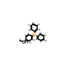 CBc1ccc(P(c2ccccc2)c2ccccc2)cc1